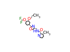 CCCOc1cc(-c2nc(CNC(=O)c3ncccc3C)co2)ccc1OC(F)F